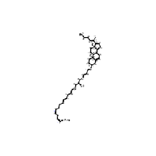 CCCCC/C=C\C/C=C\CCCCCCCCOCC(O)COCCCO[C@H]1CC[C@@]2(C)C(=CCC3C4CCC([C@H](C)CCCC(C)C)[C@@]4(C)CCC32)C1